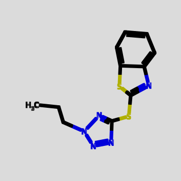 CCCn1nnc(Sc2nc3ccccc3s2)n1